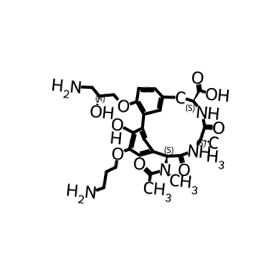 CC(=O)N(C)[C@@H]1C(=O)N[C@@H](C)C(=O)N[C@H](C(=O)O)Cc2ccc(OC[C@H](O)CN)c(c2)-c2cc1cc(OCCCN)c2O